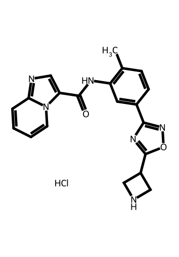 Cc1ccc(-c2noc(C3CNC3)n2)cc1NC(=O)c1cnc2ccccn12.Cl